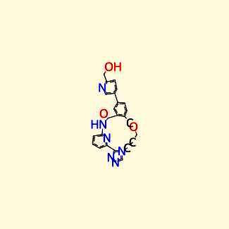 O=C1Nc2cccc(n2)-c2nncn2CCCOCc2ccc(-c3ccc(CO)nc3)cc21